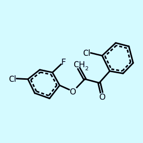 C=C(Oc1ccc(Cl)cc1F)C(=O)c1ccccc1Cl